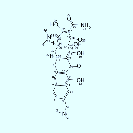 CN(C)Cc1ccc2cc3c(c(O)c2c1)C(=O)C1=C(O)[C@]2(O)C(=O)C(C(N)=O)=C(O)[C@@H](N(C)C)[C@@H]2C[C@@H]1C3